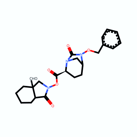 O=CC12CCCCC1C(=O)N(OC(=O)[C@@H]1CCC3CN1C(=O)N3OCc1ccccc1)C2